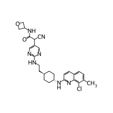 Cc1ccc2ccc(N[C@H]3CC[C@H](CCNc4ncc(C(C#N)C(=O)NC5COC5)cn4)CC3)nc2c1Cl